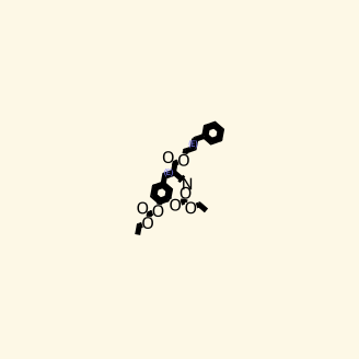 CCOC(=O)Oc1ccc(/C=C(\C#N)C(=O)OC/C=C/c2ccccc2)cc1OC(=O)OCC